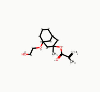 C=C(C)C(=O)OC1(C)CC2CCCC(OCCO)(C2)C1